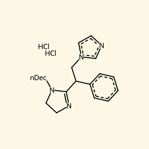 CCCCCCCCCCN1CCN=C1C(Cn1ccnc1)c1ccccc1.Cl.Cl